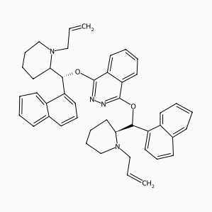 C=CCN1CCCCC1[C@H](Oc1nnc(OC(c2cccc3ccccc23)[C@@H]2CCCCN2CC=C)c2ccccc12)c1cccc2ccccc12